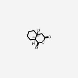 O=C1C[C@H]2CCCC[C@@H]2C(=O)O1